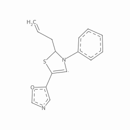 C=CCC1SC(c2cnco2)=[C]N1c1ccccc1